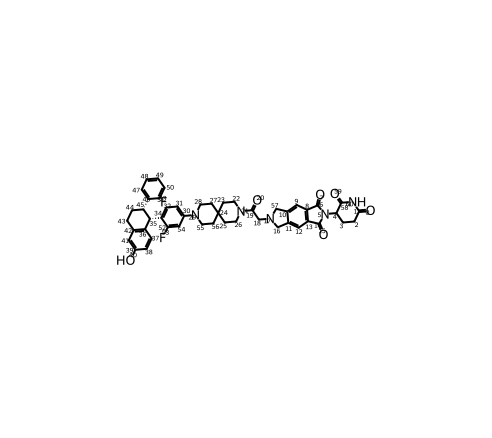 O=C1CCC(N2C(=O)c3cc4c(cc3C2=O)CN(CC(=O)N2CCC3(CC2)CCN(c2cc(F)c([C@@H]5c6ccc(O)cc6CC[C@@H]5c5ccccc5)c(F)c2)CC3)C4)C(=O)N1